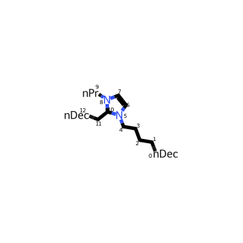 CCCCCCCCCCCCCCN1C=CN(CCC)C1CCCCCCCCCCC